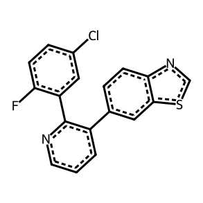 Fc1ccc(Cl)cc1-c1ncccc1-c1ccc2ncsc2c1